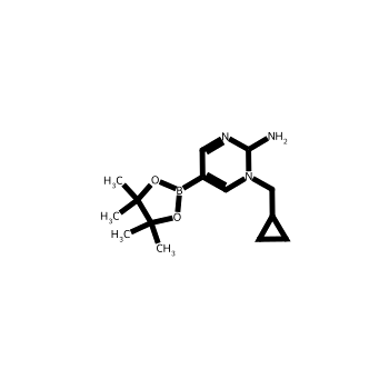 CC1(C)OB(C2=CN(CC3CC3)C(N)N=C2)OC1(C)C